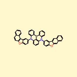 c1ccc2c(c1)B1c3ccccc3N(c3ccc4oc5ccc6ccccc6c5c4c3)c3cccc(c31)N2c1ccc2oc3cc4ccccc4cc3c2c1